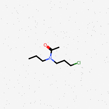 CCCN(CCCCl)C(C)=O